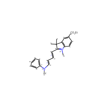 CCOC(=O)c1ccc2c(c1)C(C)(C)C(/C=C/C=C/N(C(C)=O)c1ccccc1)=[N+]2C